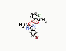 Cc1nc(-c2ccc(Br)cc2)c(NC(=O)O[C@H](C)c2ccccc2Cl)o1